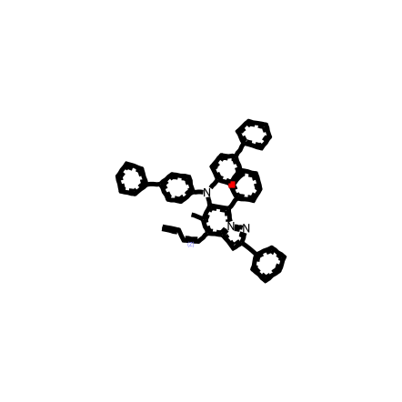 C=C/C=C\c1c(C)c(N(c2ccc(-c3ccccc3)cc2)c2ccc(-c3ccccc3)cc2)c(-c2ccccc2)n2nc(-c3ccccc3)cc12